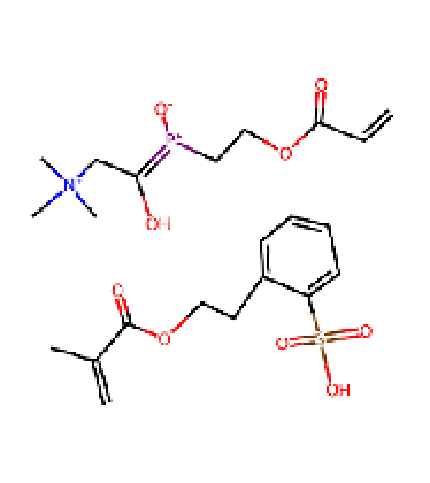 C=C(C)C(=O)OCCc1ccccc1S(=O)(=O)O.C=CC(=O)OCC/[P+]([O-])=C(\O)C[N+](C)(C)C